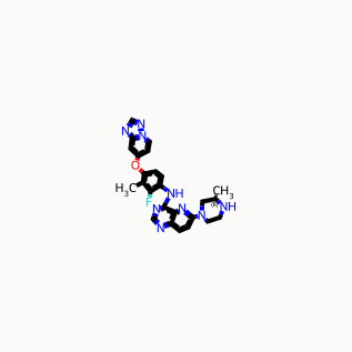 Cc1c(Oc2ccn3ncnc3c2)ccc(Nc2ncnc3ccc(N4CCN[C@H](C)C4)nc23)c1F